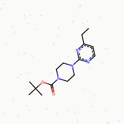 CCc1ccnc(N2CCN(C(=O)OC(C)(C)C)CC2)n1